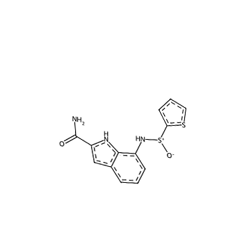 NC(=O)c1cc2cccc(N[S+]([O-])c3cccs3)c2[nH]1